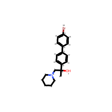 CC(O)(CN1CCCCC1)c1ccc(-c2ccc(Br)cc2)cc1